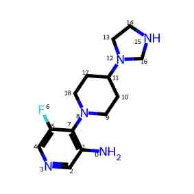 Nc1cncc(F)c1N1CCC(N2CCNC2)CC1